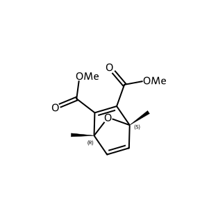 COC(=O)C1=C(C(=O)OC)[C@]2(C)C=C[C@@]1(C)O2